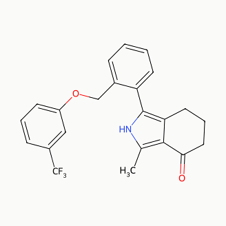 Cc1[nH]c(-c2ccccc2COc2cccc(C(F)(F)F)c2)c2c1C(=O)CCC2